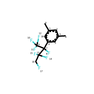 Cc1[c]c(C)cc(C(F)(C(F)(F)F)C(F)(F)CF)c1